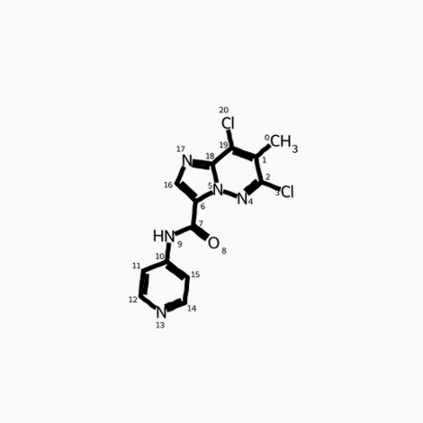 Cc1c(Cl)nn2c(C(=O)Nc3ccncc3)cnc2c1Cl